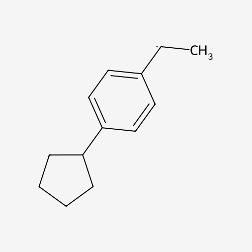 C[CH]c1ccc(C2CCCC2)cc1